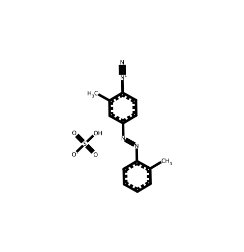 Cc1ccccc1N=Nc1ccc([N+]#N)c(C)c1.O=S(=O)([O-])O